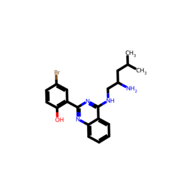 CC(C)CC(N)CNc1nc(-c2cc(Br)ccc2O)nc2ccccc12